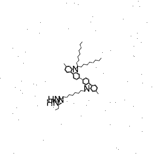 CCCCCCCCC(CCCCCCCC)n1c2cc(C)ccc2c2ccc(-c3ccc4c5ccc(C)cc5n(CCCCCCCCN5C=C(CC)NN5)c4c3)cc21